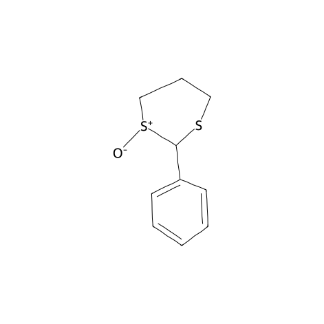 [O-][S+]1CCCSC1c1ccccc1